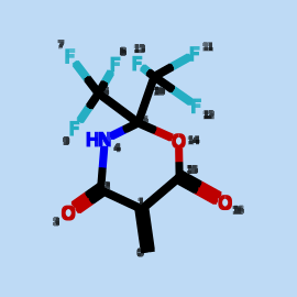 C=C1C(=O)NC(C(F)(F)F)(C(F)(F)F)OC1=O